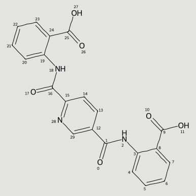 O=C(Nc1ccccc1C(=O)O)c1ccc(C(=O)Nc2ccccc2C(=O)O)nc1